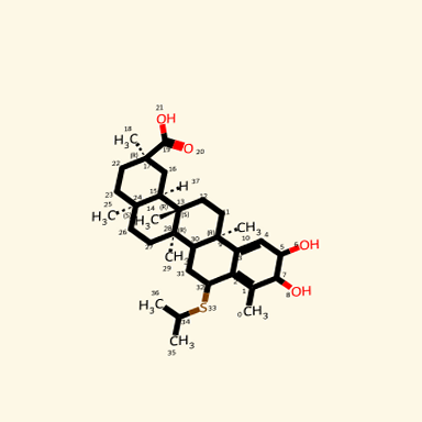 CC1=C2C(=CC(O)C1O)[C@]1(C)CC[C@@]3(C)[C@@H]4C[C@](C)(C(=O)O)CC[C@]4(C)CC[C@]3(C)C1CC2SC(C)C